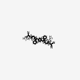 CCn1c(=C(C#N)C#N)s/c(=C/c2cc3c(s2)-c2cc4c(cc2OC32CCCCC2)-c2sc(/C=c3/sc(=C(C#N)C#N)n(CC)c3=O)cc2C2(CCCCC2)O4)c1=O